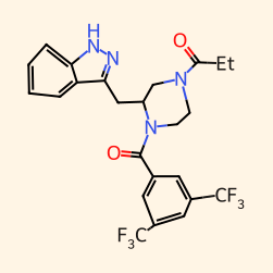 CCC(=O)N1CCN(C(=O)c2cc(C(F)(F)F)cc(C(F)(F)F)c2)C(Cc2n[nH]c3ccccc23)C1